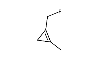 CC1=C(CF)C1